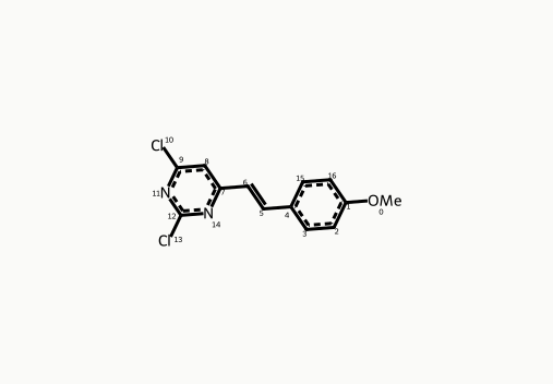 COc1ccc(/C=C/c2cc(Cl)nc(Cl)n2)cc1